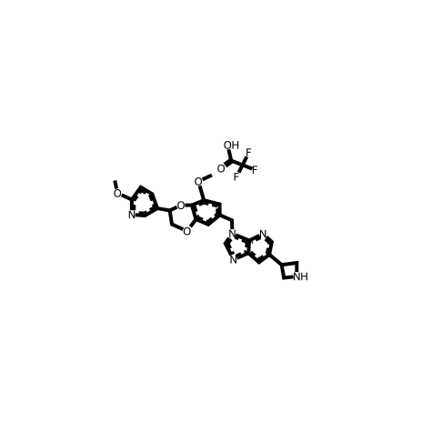 COc1ccc(C2COc3cc(Cn4cnc5cc(C6CNC6)cnc54)cc(OC)c3O2)cn1.O=C(O)C(F)(F)F